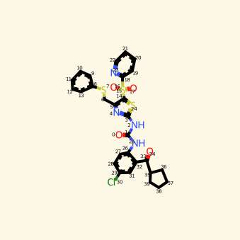 O=C(Nc1nc(CSc2ccccc2)c(S(=O)(=O)c2ccccn2)s1)Nc1ccc(Cl)cc1C(=O)C1CCCC1